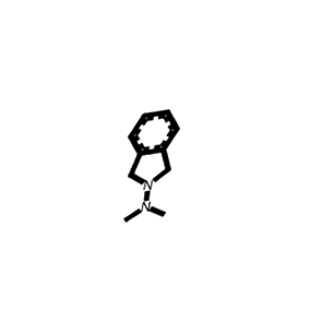 CN(C)N1Cc2ccccc2C1